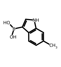 Cc1ccc2c(B(O)O)c[nH]c2c1